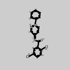 O=C(/N=c1\ccn(-c2ccccc2)nc1)c1cc(Cl)ccc1Cl